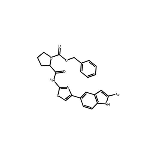 CC(=O)c1cc2cc(-c3csc(NC(=O)C4CCCN4C(=O)OCc4ccccc4)n3)ccc2[nH]1